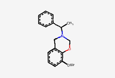 COc1cccc2c1OCN(C(C)c1ccccc1)C2